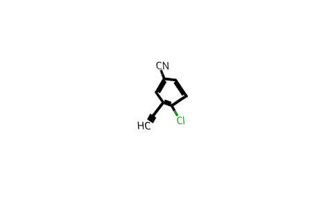 C#Cc1cc(C#N)ccc1Cl